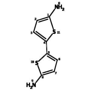 Nc1ccc(-c2ccc(N)s2)s1